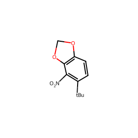 CC(C)(C)c1ccc2c(c1[N+](=O)[O-])OCO2